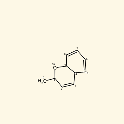 CC1C=CC2C=CC=CC2O1